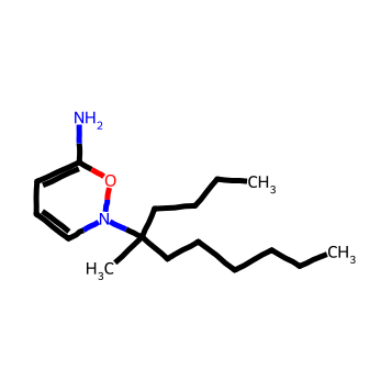 CCCCCCC(C)(CCCC)N1C=CC=C(N)O1